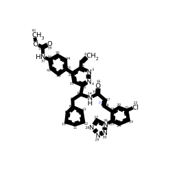 C=Cc1nnc(C(Cc2ccccc2)NC(=O)/C=C/c2cc(Cl)ccc2-n2cnnn2)cc1-c1ccc(NC(=O)OC)cc1